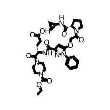 CCOC(=O)N1CCN(C(=O)[C@H](CCC(=O)O)NC(=O)c2cc(OCC(=O)N3CCC[C@H]3C(=O)NC3CC3)n(-c3ccccc3)n2)CC1